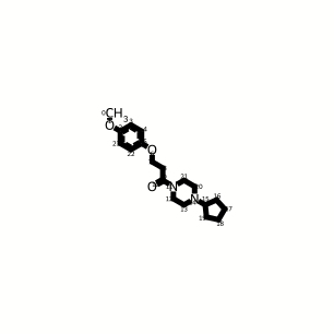 COc1ccc(OCCC(=O)N2CCN(C3CCCC3)CC2)cc1